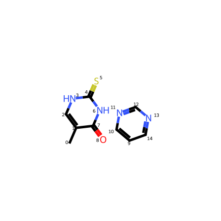 Cc1c[nH]c(=S)[nH]c1=O.c1cncnc1